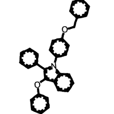 c1ccc(COc2ccc(-n3c(-c4ccccc4)c(Oc4ccccc4)c4ccccc43)cc2)cc1